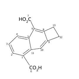 O=C(O)c1cccc2c(C(=O)O)c3c(cc12)CC3